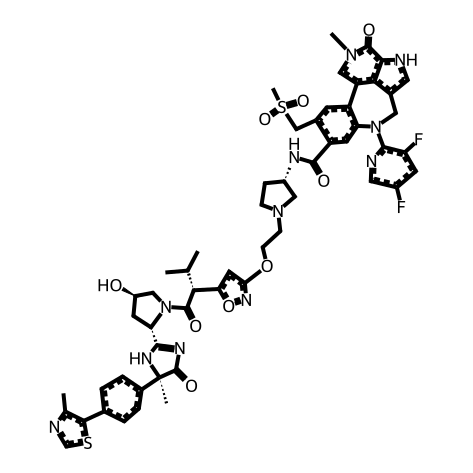 Cc1ncsc1-c1ccc([C@@]2(C)NC([C@@H]3C[C@@H](O)CN3C(=O)[C@@H](c3cc(OCCN4CC[C@H](NC(=O)c5cc6c(cc5CS(C)(=O)=O)-c5cn(C)c(=O)c7[nH]cc(c57)CN6c5ncc(F)cc5F)C4)no3)C(C)C)=NC2=O)cc1